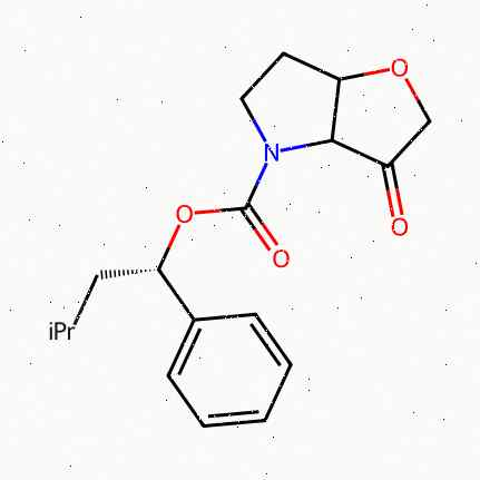 CC(C)C[C@H](OC(=O)N1CCC2OCC(=O)C21)c1ccccc1